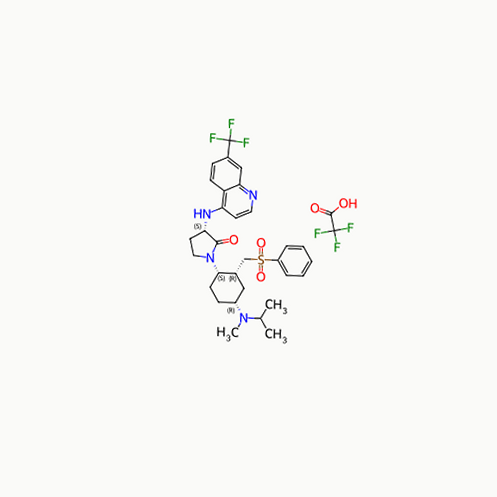 CC(C)N(C)[C@@H]1CC[C@H](N2CC[C@H](Nc3ccnc4cc(C(F)(F)F)ccc34)C2=O)[C@H](CS(=O)(=O)c2ccccc2)C1.O=C(O)C(F)(F)F